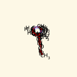 CO[C@H]1C[C@@H]2CC[C@@H](C)[C@@](O)(O2)C(=O)C(=O)N2CCCC[C@H]2C(=O)O[C@H]([C@H](N)C[C@@H]2CC[C@@H](OC(=O)N3CCc4nc(N5CCN(C(=O)CCOCCN6CCN(c7ncc(C)cn7)CC6)CC5)ncc4C3)[C@H](OC)C2)C[C@@H](OC)C(C)/C=C(\C)[C@@H](O)[C@@H](OC)C(=O)[C@H](C)C[C@H](C)/C=C/C=C/C=C/1C